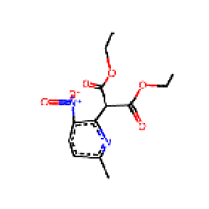 CCOC(=O)C(C(=O)OCC)c1nc(C)ccc1[N+](=O)[O-]